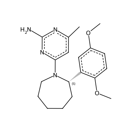 COc1ccc(OC)c([C@@H]2CCCCCN2c2cc(C)nc(N)n2)c1